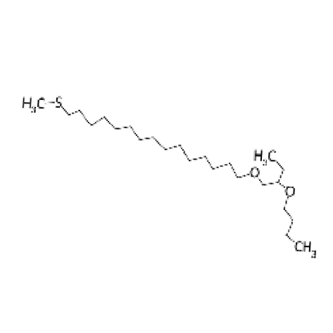 CCCCOC(CC)COCCCCCCCCCCCCCCCSC